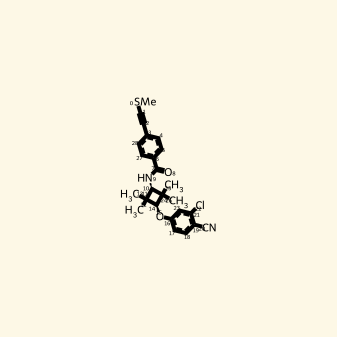 CSC#Cc1ccc(C(=O)N[C@H]2C(C)(C)[C@H](Oc3ccc(C#N)c(Cl)c3)C2(C)C)cc1